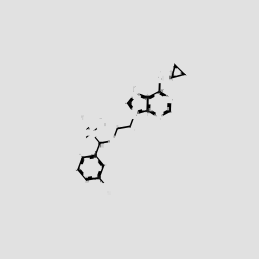 C1CC1.Nc1ncnc2c1ncn2CCOC(c1cccc(Cl)c1)P(=O)(O)O